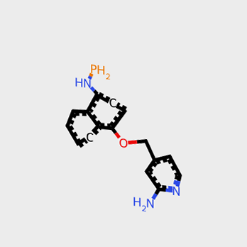 Nc1cc(COc2ccc(NP)c3ccccc23)ccn1